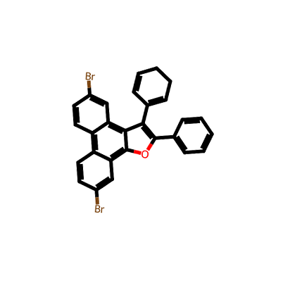 Brc1ccc2c3ccc(Br)cc3c3c(C4=CCCC=C4)c(-c4ccccc4)oc3c2c1